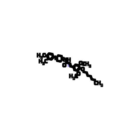 CCCCCCCOc1c(OC)cc(/C=C/C(=O)NN2CCN(c3ccc(C)c(C)c3)CC2)cc1OC